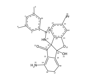 Cc1cc(C)cc(C(=O)NC23C(=O)C4=C(N)CCC=C4C2(O)Oc2cc(C(C)C)ccc23)c1